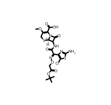 COC1=C(C(=O)O)N2C(=O)C(NC(=O)/C(=N/OCC(=O)OC(C)(C)C)c3nc(N)sc3Cl)[C@H]2SC1